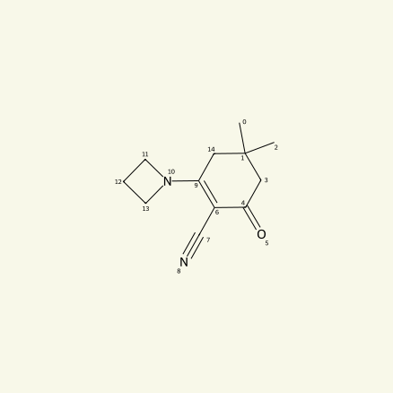 CC1(C)CC(=O)C(C#N)=C(N2CCC2)C1